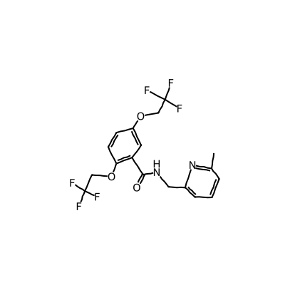 Cc1cccc(CNC(=O)c2cc(OCC(F)(F)F)ccc2OCC(F)(F)F)n1